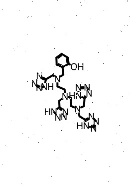 Oc1ccccc1CN(CCN(CCN(Cc1nnn[nH]1)Cc1nnn[nH]1)Cc1nnn[nH]1)Cc1nnn[nH]1